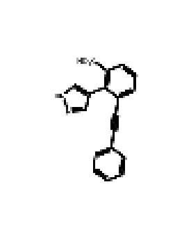 O=C(O)c1cccc(C#Cc2ccccc2)c1-c1cn[nH]c1